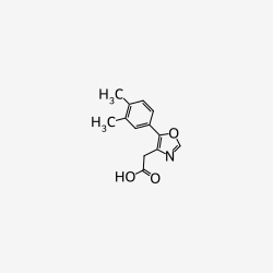 Cc1ccc(-c2ocnc2CC(=O)O)cc1C